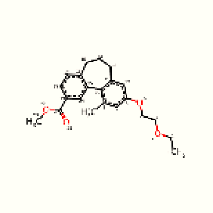 CCOCCOc1cc(C)c2c(c1)CCCc1ccc(C(=O)OC)cc1-2